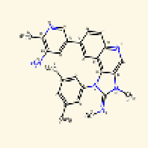 COc1cc(OC)cc(-n2c(=NC#N)n(C)c3cnc4ccc(-c5cnc(OC)c(N)c5)cc4c32)c1